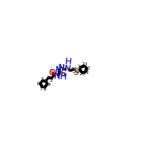 O=C(C=Cc1ccccc1)Nc1nnc(NCCSc2ccccc2)s1